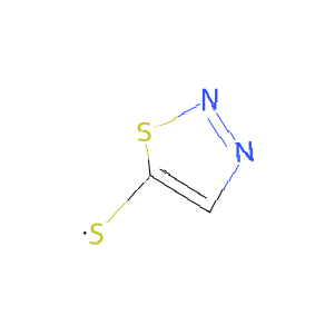 [S]c1cnns1